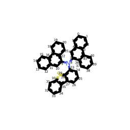 c1ccc2c(c1)cc(N(c1cc3ccccc3c3ccccc13)c1cccc3c1sc1ccccc13)c1ccccc12